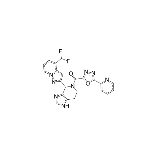 O=C(c1nnc(-c2ccccn2)o1)N1CCc2[nH]cnc2C1c1cc2c(C(F)F)cccn2n1